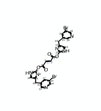 O=C(/C=C/C(=O)Oc1nc(Cc2cncc(Br)c2)c[nH]1)Oc1nc(Cc2cncc(Br)c2)c[nH]1